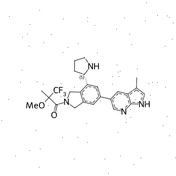 COC(C)(C(=O)N1Cc2cc(-c3cnc4[nH]cc(C)c4c3)cc([C@@H]3CCCN3)c2C1)C(F)(F)F